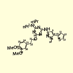 CCCN(CCC)c1nc(Nc2cc(-c3cccs3)n(C)n2)nc(OCCc2ccc(OC)c(OC)c2)n1